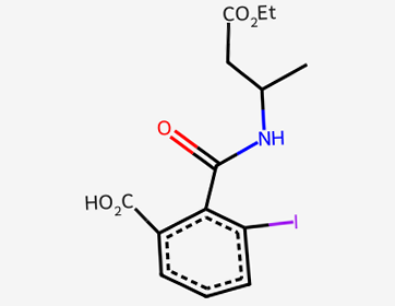 CCOC(=O)CC(C)NC(=O)c1c(I)cccc1C(=O)O